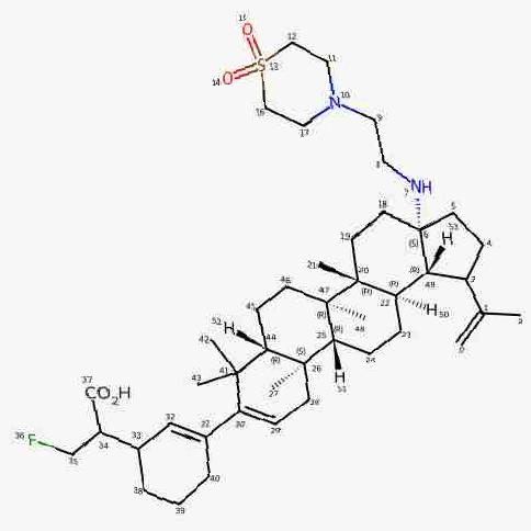 C=C(C)C1CC[C@]2(NCCN3CCS(=O)(=O)CC3)CC[C@]3(C)[C@H](CC[C@@H]4[C@@]5(C)CC=C(C6=CC(C(CF)C(=O)O)CCC6)C(C)(C)[C@@H]5CC[C@]43C)[C@@H]12